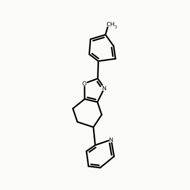 Cc1ccc(-c2nc3c(o2)CCC(c2ccccn2)C3)cc1